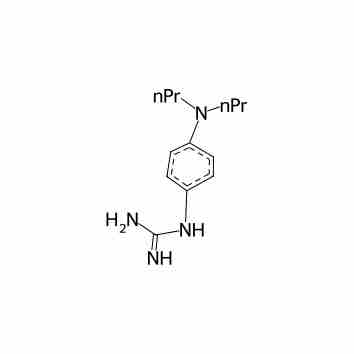 CCCN(CCC)c1ccc(NC(=N)N)cc1